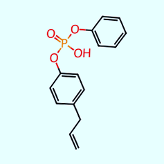 C=CCc1ccc(OP(=O)(O)Oc2ccccc2)cc1